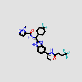 CC[C@H](NC(=O)CCC(F)(F)F)c1ccc2[nH]c([C@@H](NC(=O)c3ccnn3C)C3CCC(F)(F)CC3)nc2c1